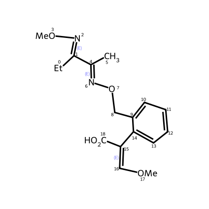 CCC(=N\OC)/C(C)=N/OCc1ccccc1/C(=C\OC)C(=O)O